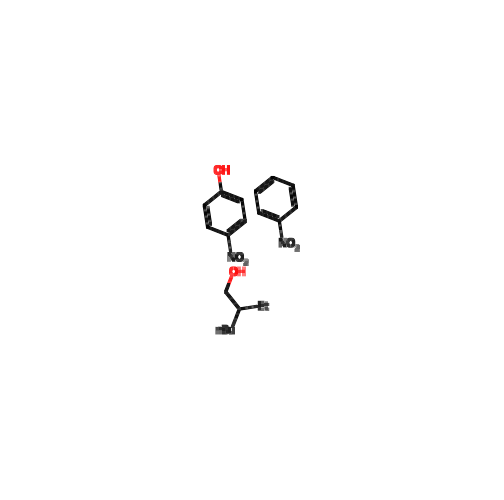 CCCCC(CC)CO.O=[N+]([O-])c1ccc(O)cc1.O=[N+]([O-])c1ccccc1